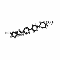 CC1(C(=O)O)CCN(c2ccc(-c3ccc(-c4nc5cc(C#N)ccc5[nH]4)cn3)cn2)CC1